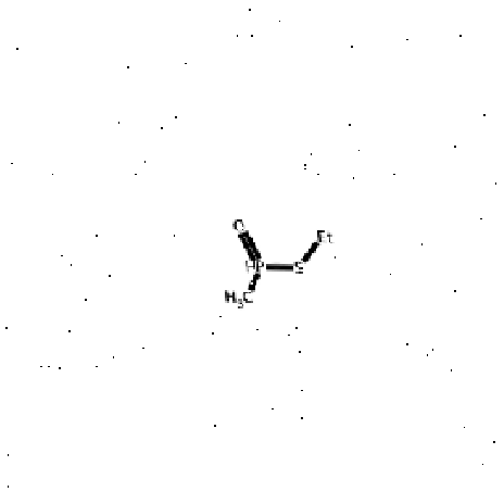 CCS[PH](C)=O